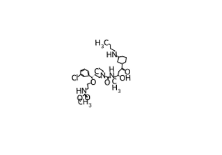 CCCCNC1CCCC(C(=O)C[C@@H](O)[C@H](C)NC(=O)N2CCC[C@@H](C(OCCNC(=O)OC)c3cccc(Cl)c3)C2)C1